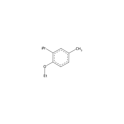 [CH2]C(C)c1cc(C)ccc1OCC